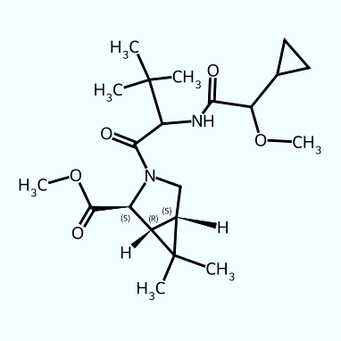 COC(=O)[C@@H]1[C@@H]2[C@H](CN1C(=O)C(NC(=O)C(OC)C1CC1)C(C)(C)C)C2(C)C